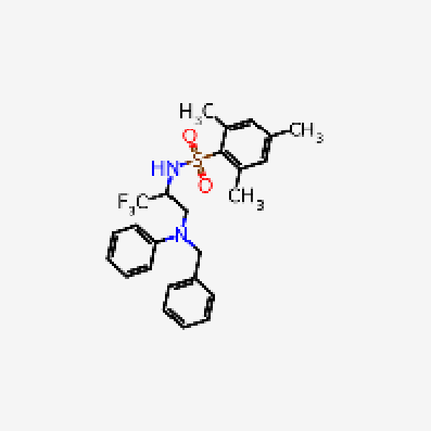 Cc1cc(C)c(S(=O)(=O)NC(CN(Cc2ccccc2)c2ccccc2)C(F)(F)F)c(C)c1